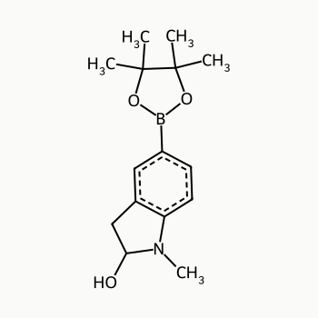 CN1c2ccc(B3OC(C)(C)C(C)(C)O3)cc2CC1O